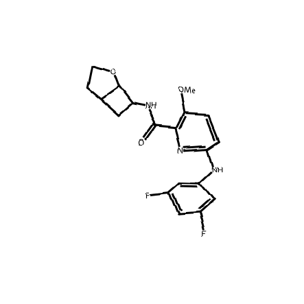 COc1ccc(Nc2cc(F)cc(F)c2)nc1C(=O)NC1CC2CCOC21